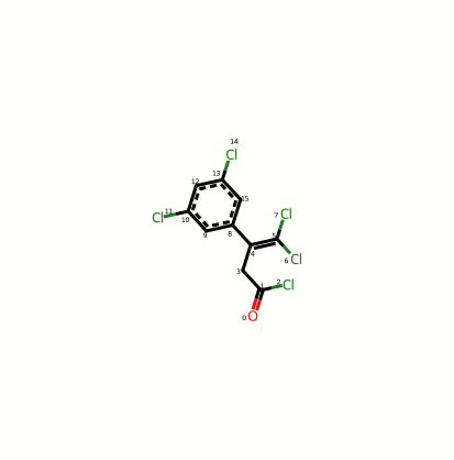 O=C(Cl)CC(=C(Cl)Cl)c1cc(Cl)cc(Cl)c1